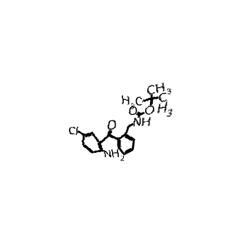 CC(C)(C)OC(=O)NCc1ccccc1C(=O)c1cc(Cl)ccc1N